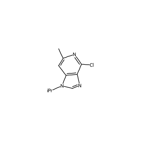 Cc1cc2c(ncn2C(C)C)c(Cl)n1